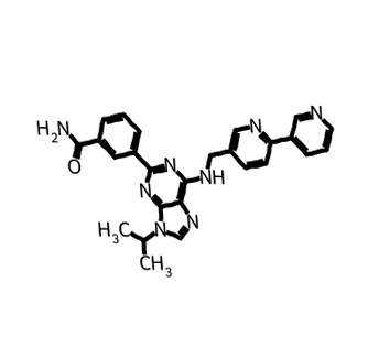 CC(C)n1cnc2c(NCc3ccc(-c4cccnc4)nc3)nc(-c3cccc(C(N)=O)c3)nc21